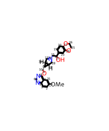 COc1ccc2ncnc(OC[C@@H]3[C@H]4CN(CC(O)c5ccc6c(c5)OCCO6)C[C@@H]34)c2c1